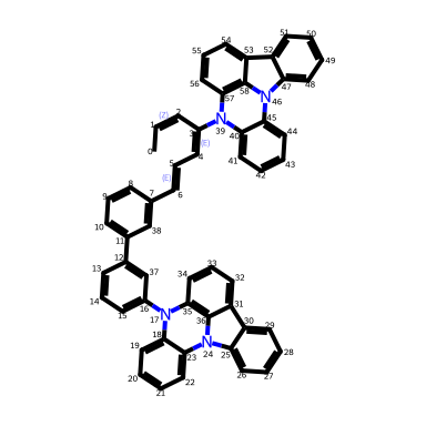 C\C=C/C(=C\C=C\c1cccc(-c2cccc(N3c4ccccc4-n4c5ccccc5c5cccc3c54)c2)c1)N1c2ccccc2-n2c3ccccc3c3cccc1c32